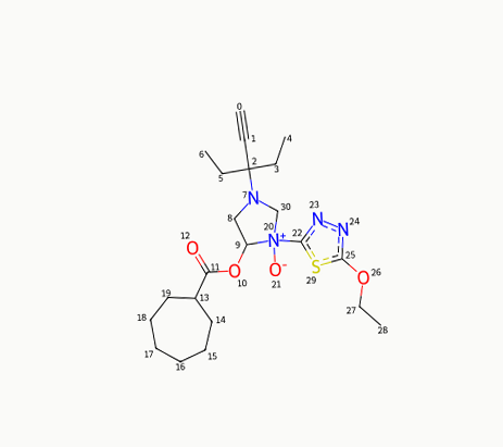 C#CC(CC)(CC)N1CC(OC(=O)C2CCCCCC2)[N+]([O-])(c2nnc(OCC)s2)C1